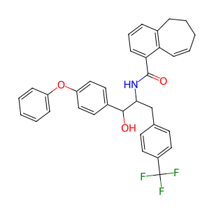 O=C(NC(Cc1ccc(C(F)(F)F)cc1)C(O)c1ccc(Oc2ccccc2)cc1)c1cccc2c1C=CCCC2